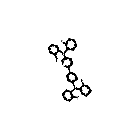 Fc1ccccc1N(c1ccc(-c2ccc(N(c3ccccc3F)c3ccccc3F)cn2)cc1)c1ccccc1F